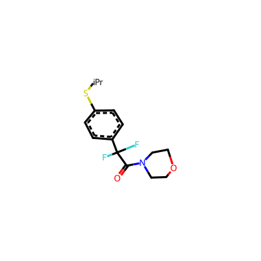 CC(C)Sc1ccc(C(F)(F)C(=O)N2CCOCC2)cc1